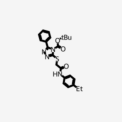 CCc1ccc(NC(=O)CSc2nnc(-c3ccccc3)n2C(=O)OC(C)(C)C)cc1